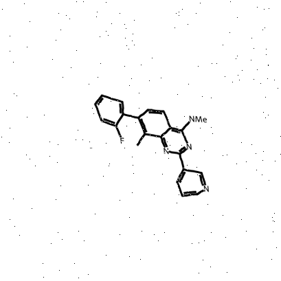 CNc1nc(-c2cccnc2)nc2c(C)c(-c3ccccc3F)ccc12